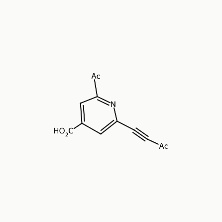 CC(=O)C#Cc1cc(C(=O)O)cc(C(C)=O)n1